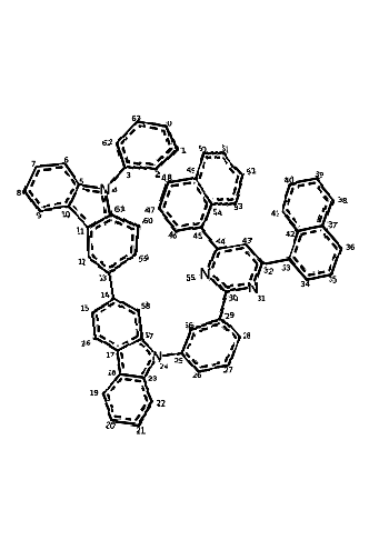 c1ccc(-n2c3ccccc3c3cc(-c4ccc5c6ccccc6n(-c6cccc(-c7nc(-c8cccc9ccccc89)cc(-c8cccc9ccccc89)n7)c6)c5c4)ccc32)cc1